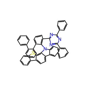 c1ccc(-c2nc(-c3ccccc3)nc(-c3cccc(-c4ccccc4-c4ccccc4)c3-n3c4ccccc4c4ccc5c6ccccc6sc5c43)n2)cc1